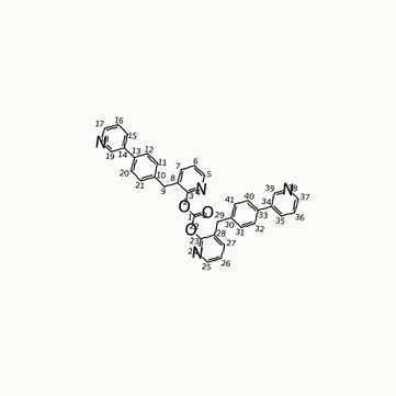 O=C(Oc1ncccc1Cc1ccc(-c2cccnc2)cc1)Oc1ncccc1Cc1ccc(-c2cccnc2)cc1